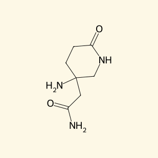 NC(=O)CC1(N)CCC(=O)NC1